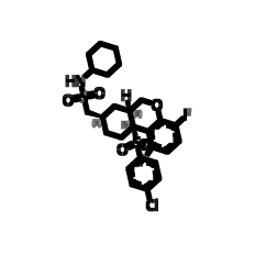 O=S(=O)(C[C@@H]1CC[C@@]2(S(=O)(=O)c3ccc(Cl)cc3)c3c(F)ccc(F)c3OC[C@H]2C1)NC1CCCCC1